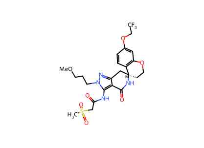 COCCCn1nc2c(c1NC(=O)CS(C)(=O)=O)C(=O)N[C@@]1(CCOc3cc(OCC(F)(F)F)ccc31)C2